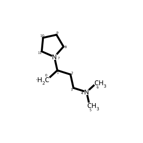 [CH2]C(CCN(C)C)N1CCCC1